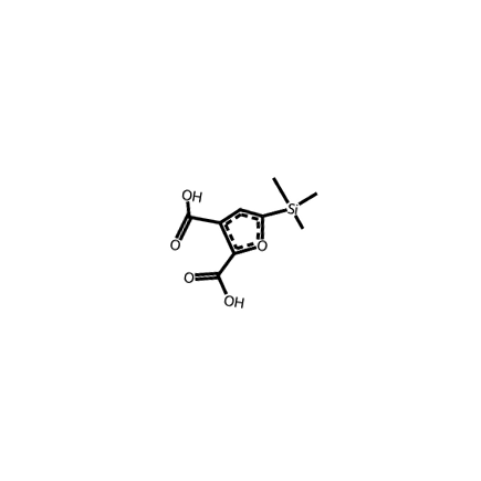 C[Si](C)(C)c1cc(C(=O)O)c(C(=O)O)o1